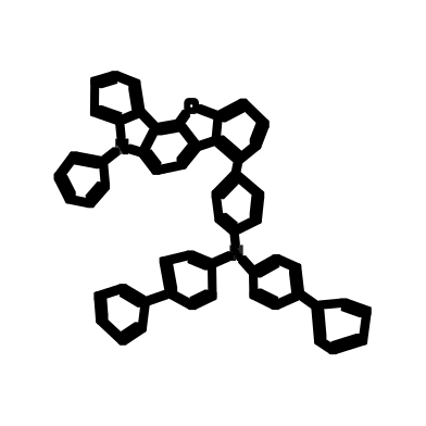 c1ccc(-c2ccc(N(c3ccc(-c4ccccc4)cc3)c3ccc(-c4cccc5oc6c(ccc7c6c6ccccc6n7-c6ccccc6)c45)cc3)cc2)cc1